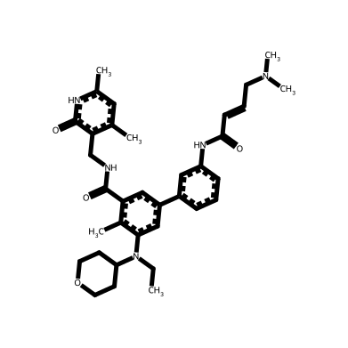 CCN(c1cc(-c2cccc(NC(=O)/C=C/CN(C)C)c2)cc(C(=O)NCc2c(C)cc(C)[nH]c2=O)c1C)C1CCOCC1